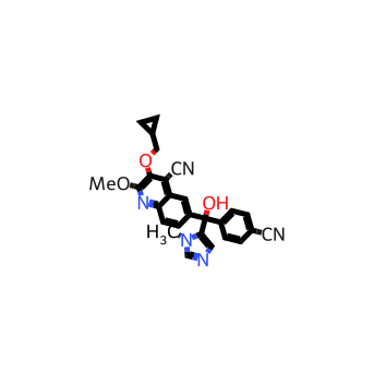 COc1nc2ccc(C(O)(c3ccc(C#N)cc3)c3cncn3C)cc2c(C#N)c1OCC1CC1